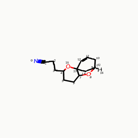 N#CCCC1CCC2O[C@H]3CC=CC2(C3)O1